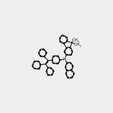 CC1(C)c2ccccc2-c2cc(N(c3ccc(C(=C(c4ccccc4)c4ccccc4)c4ccccc4)cc3)c3ccc4ccccc4c3)ccc21